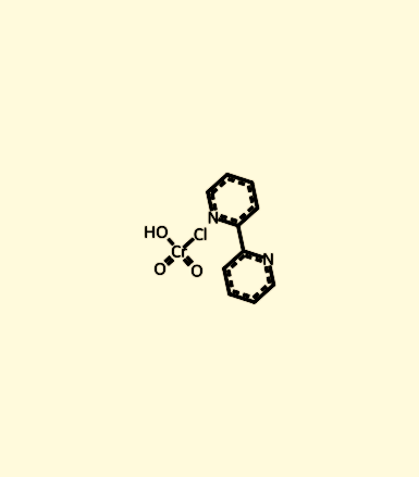 [O]=[Cr](=[O])([OH])[Cl].c1ccc(-c2ccccn2)nc1